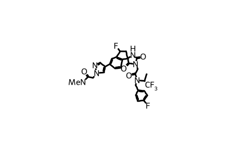 CNC(=O)Cn1cc(-c2ccc3c(c2)C(F)CC32NC(=O)N(CC(=O)N(Cc3ccc(F)cc3)C(C)C(F)(F)F)C2=O)cn1